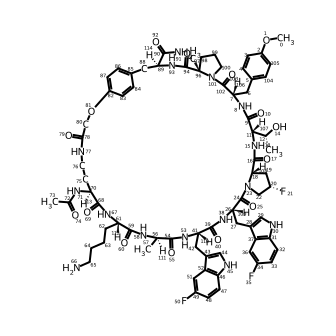 COc1ccc(C[C@@H]2NC(=O)[C@H]([C@@H](C)O)NC(=O)[C@@H]3C[C@H](F)CN3C(=O)[C@H](Cc3c[nH]c4ccc(F)cc34)NC(=O)[C@H](Cc3c[nH]c4ccc(F)cc34)NC(=O)[C@@H](C)NC(=O)[C@H](CCCCN)NC(=O)[C@@H](NC(C)=O)CCNC(=O)COc3ccc(cc3)C[C@@H](C(N)=O)NC(=O)[C@]3(C)CCCN3C2=O)cc1